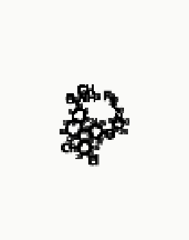 CNC(=O)c1ccc2c(c1)CCCC(c1ccc(Cl)cc1Cl)=C2c1ccc(OC2CCN(CCCF)C2)cc1